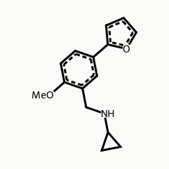 COc1ccc(-c2ccco2)cc1CNC1CC1